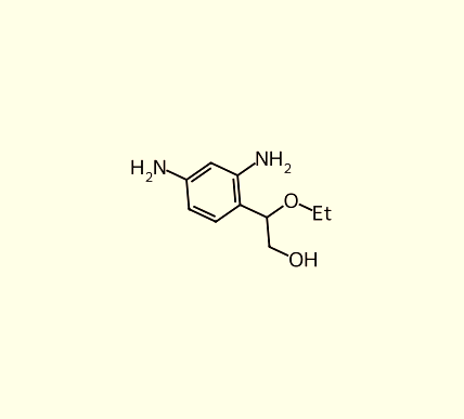 CCOC(CO)c1ccc(N)cc1N